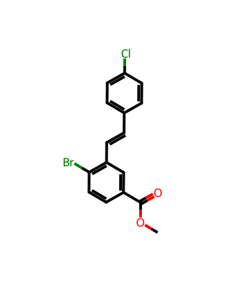 COC(=O)c1ccc(Br)c(C=Cc2ccc(Cl)cc2)c1